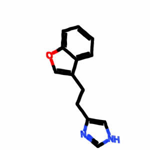 c1ccc2c(CCc3c[nH]cn3)coc2c1